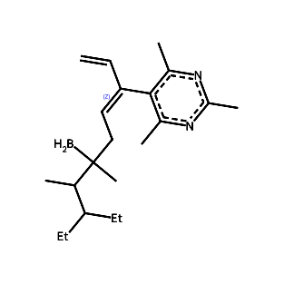 BC(C)(C/C=C(/C=C)c1c(C)nc(C)nc1C)C(C)C(CC)CC